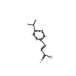 CC(C)c1ccc(/C=C/C(=O)Cl)cc1